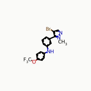 Cn1ncc(Br)c1-c1cccc(Nc2ccc(OC(F)(F)F)cc2)c1